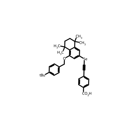 CC(C)(C)c1ccc(COc2cc([Se]C#Cc3ccc(C(=O)O)cc3)cc3c2C(C)(C)CCC3(C)C)cc1